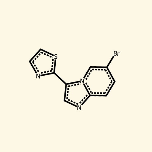 Brc1ccc2ncc(-c3nccs3)n2c1